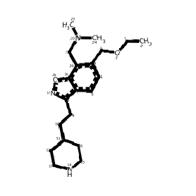 CCOCc1ccc2c(CCC3CCNCC3)noc2c1CN(C)C